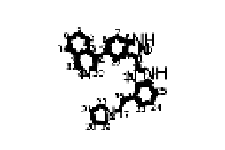 c1ccc2c(-c3ccc4[nH]nc(-c5nc6c(CCN7CCCC7)cccc6[nH]5)c4c3)cncc2c1